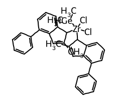 CC1=Cc2c(-c3ccccc3)cccc2[CH]1[Zr]([Cl])([Cl])([CH]1C(C)=Cc2c(-c3ccccc3)cccc21)[GeH]([CH3])[CH3]